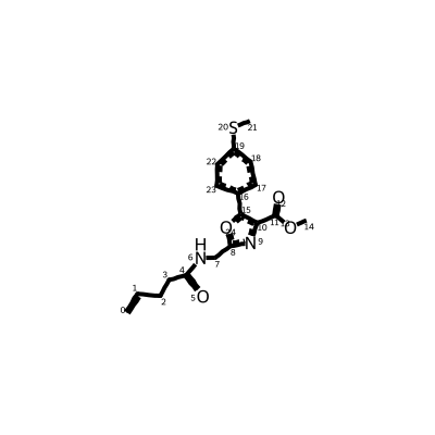 C=CCCC(=O)NCc1nc(C(=O)OC)c(-c2ccc(SC)cc2)o1